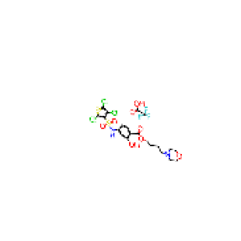 O=C(O)C(F)(F)F.O=C(OCCCCN1CCOCC1)c1ccc(NS(=O)(=O)c2c(Cl)sc(Cl)c2Cl)cc1O